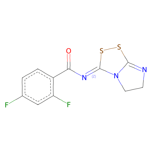 O=C(/N=C1\SSC2=NCCN21)c1ccc(F)cc1F